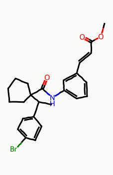 COC(=O)/C=C/c1cccc(NC(=O)C2(C(C)c3ccc(Br)cc3)CCCCC2)c1